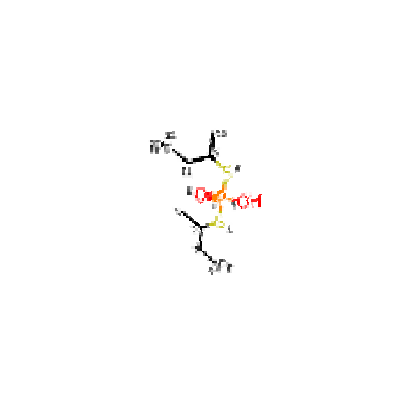 CC(C)CC(C)SP(=O)(O)SC(C)CC(C)C